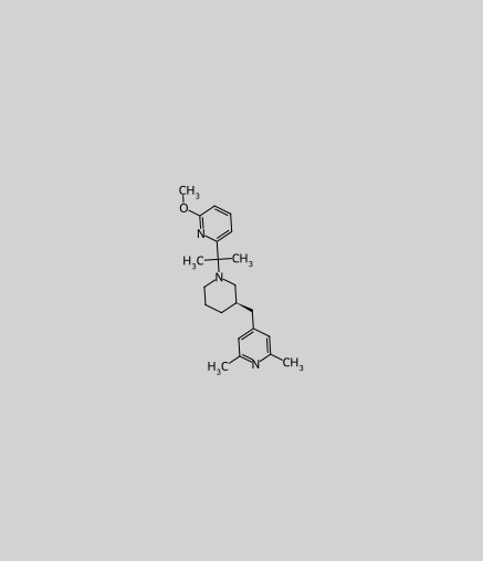 COc1cccc(C(C)(C)N2CCC[C@H](Cc3cc(C)nc(C)c3)C2)n1